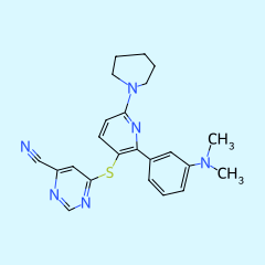 CN(C)c1cccc(-c2nc(N3CCCCC3)ccc2Sc2cc(C#N)ncn2)c1